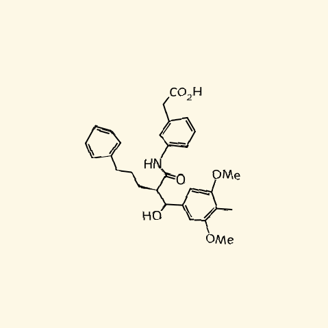 COc1cc(C(O)[C@@H](CCCc2ccccc2)C(=O)Nc2cccc(CC(=O)O)c2)cc(OC)c1C